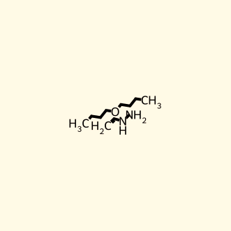 C=CNN.CCCCOCCCC